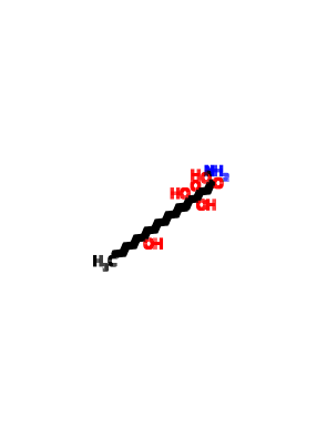 CCCCCCC(O)CCCCCCC=CC(O)C(O)C(O)CC(=O)ON